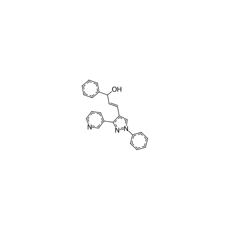 OC(/C=C/c1cn(-c2ccccc2)nc1-c1cccnc1)c1ccccc1